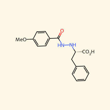 COc1ccc(C(=O)NN[C@@H](Cc2ccccc2)C(=O)O)cc1